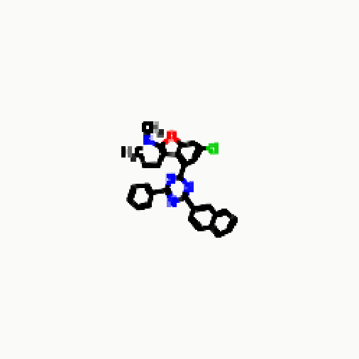 C=Nc1oc2cc(Cl)cc(-c3nc(-c4ccccc4)nc(-c4ccc5ccccc5c4)n3)c2c1/C=C\C